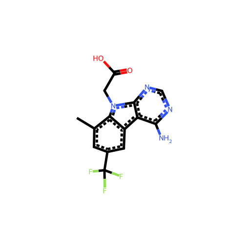 Cc1cc(C(F)(F)F)cc2c3c(N)ncnc3n(CC(=O)O)c12